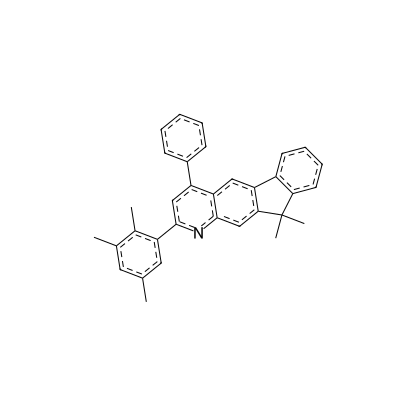 Cc1cc(C)c(C)c(-c2cc(-c3ccccc3)c3cc4c(cc3n2)C(C)(C)c2ccccc2-4)c1